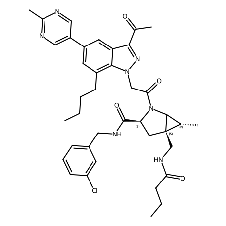 CCCCc1cc(-c2cnc(C)nc2)cc2c(C(C)=O)nn(CC(=O)N3C4[C@H](C)[C@]4(CNC(=O)CCC)C[C@H]3C(=O)NCc3cccc(Cl)c3)c12